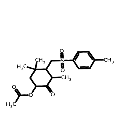 CC(=O)OC1CC(C)(C)C(CS(=O)(=O)c2ccc(C)cc2)C(C)C1=O